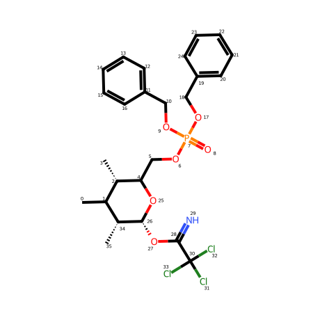 CC1[C@H](C)C(COP(=O)(OCc2ccccc2)OCc2ccccc2)O[C@H](OC(=N)C(Cl)(Cl)Cl)[C@@H]1C